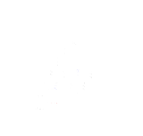 CCCCc1cc(-c2cccc3cccnc23)c2nc(-c3ccccc3O)sc2c1